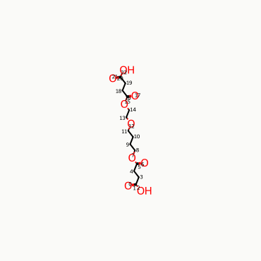 O=C(O)CCC(=O)OCCCCOCCOC(=O)CCC(=O)O